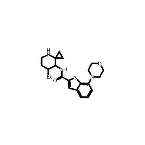 CCC1CCNC2(CC2)C1NC(=O)c1cc2cccc(N3CCOCC3)c2s1